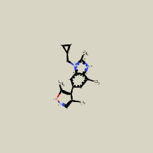 CC1=C=NOC(C)=C1c1cc([N+](=O)[O-])c2nc(C)n(CC3CC3)c2c1